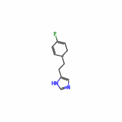 FC1=CC[C](CCc2cnc[nH]2)C=C1